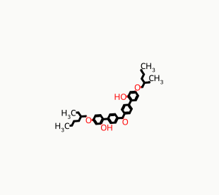 CCCCC(CC)COc1ccc(-c2ccc(C(=O)c3ccc(-c4ccc(OCC(CC)CCCC)cc4O)cc3)cc2)c(O)c1